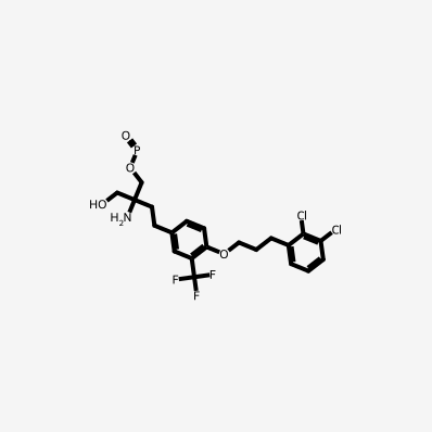 NC(CO)(CCc1ccc(OCCCc2cccc(Cl)c2Cl)c(C(F)(F)F)c1)COP=O